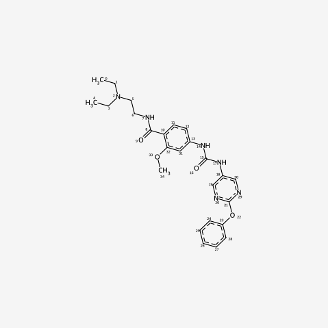 CCN(CC)CCNC(=O)c1ccc(NC(=O)Nc2cnc(Oc3ccccc3)nc2)cc1OC